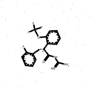 N=C(N)NC(=O)[C@H](Cc1ccccc1F)c1ccccc1OC(F)(F)F